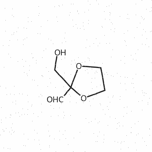 O=CC1(CO)OCCO1